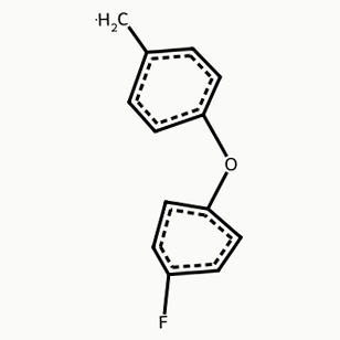 [CH2]c1ccc(Oc2ccc(F)cc2)cc1